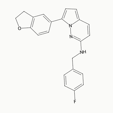 Fc1ccc(CNc2ccc3ccc(-c4ccc5c(c4)CCO5)n3n2)cc1